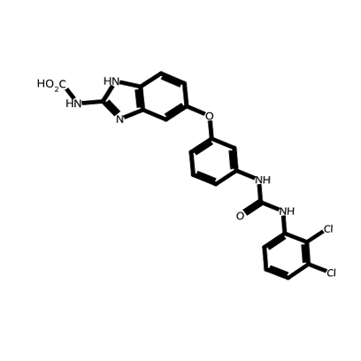 O=C(O)Nc1nc2cc(Oc3cccc(NC(=O)Nc4cccc(Cl)c4Cl)c3)ccc2[nH]1